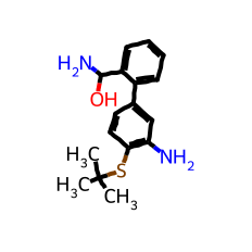 CC(C)(C)Sc1ccc(-c2ccccc2C(N)O)cc1N